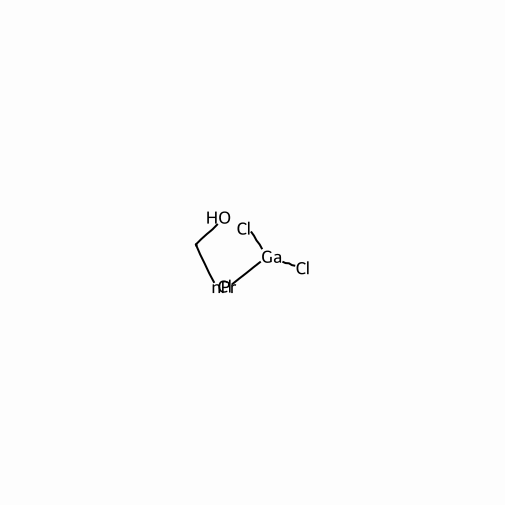 CCCCO.[Cl][Ga]([Cl])[Cl]